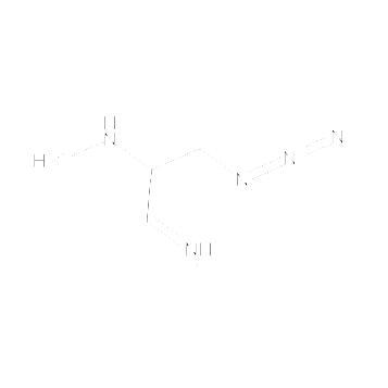 CNC(C=N)CN=[N+]=[N-]